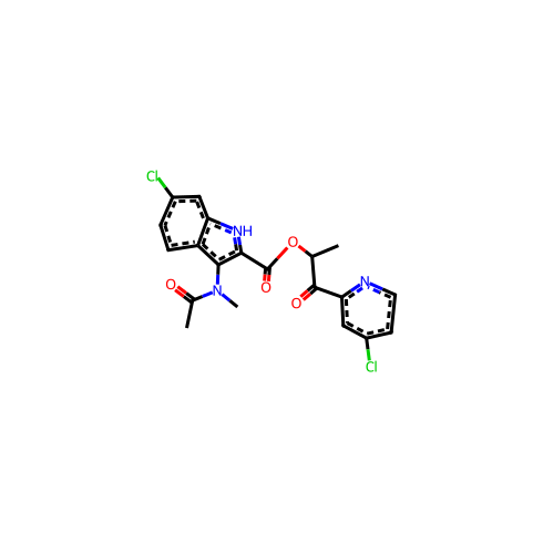 CC(=O)N(C)c1c(C(=O)OC(C)C(=O)c2cc(Cl)ccn2)[nH]c2cc(Cl)ccc12